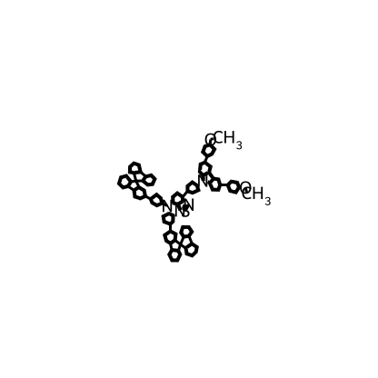 COc1ccc(-c2ccc3c(c2)c2cc(-c4ccc(OC)cc4)ccc2n3-c2ccc(-c3ccc(N(c4ccc(-c5ccc6c(c5)C5(c7ccccc7-c7ccccc75)c5ccccc5-6)cc4)c4ccc(-c5ccc6c(c5)C5(c7ccccc7-c7ccccc75)c5ccccc5-6)cc4)c4nsnc34)cc2)cc1